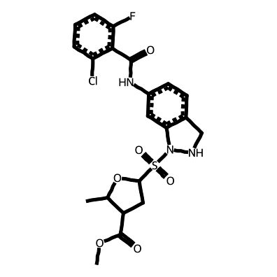 COC(=O)C1CC(S(=O)(=O)N2NCc3ccc(NC(=O)c4c(F)cccc4Cl)cc32)OC1C